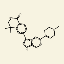 CN1CC=C(c2cnc3[nH]cc(-c4ccc5c(c4)C(C)(C)CNC5=O)c3c2)CC1